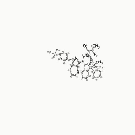 C=C(F)C(=O)NCC(CO[Si](c1ccccc1)(c1ccccc1)C(C)(C)C)n1nc(-c2ccc(C(F)(F)F)cc2)c2cccnc21